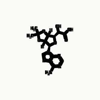 CC1(C)O[C@@H]2[C@H](O1)[C@@H](C(O)C(=O)O)O[C@H]2n1cnc2c(N)ncnc21